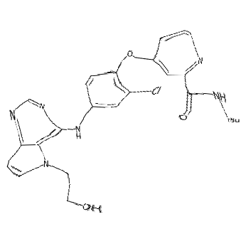 CC(C)(C)NC(=O)c1cc(Oc2ccc(Nc3ncnc4ccn(CCO)c34)cc2Cl)ccn1